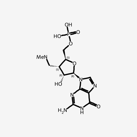 CNC[C@H]1[C@@H](O)[C@H](n2cnc3c(=O)[nH]c(N)nc32)O[C@@H]1COP(=O)(O)O